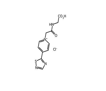 O=C(O)CNC(=O)C[n+]1ccc(-c2ncns2)cc1.[Cl-]